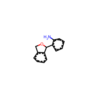 Nc1ccccc1C1OCc2ccccc21